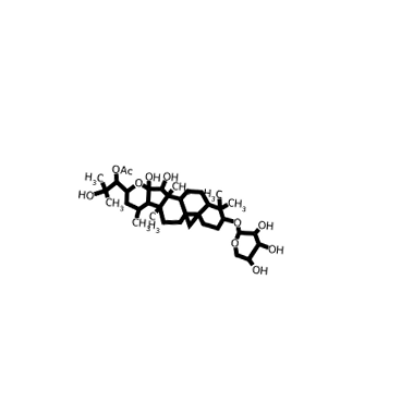 CC(=O)OC(C1CC(C)C2C(O)(O1)C(O)C1(C)C3CCC4C(C)(C)C(OC5OCC(O)C(O)C5O)CCC45CC35CCC21C)C(C)(C)O